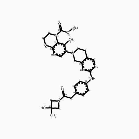 Cc1c(N2CCc3cnc(Nc4ccc(CC(=O)N5CC(C)(O)C5)cc4)nc3C2)cnc2c1N(C(=O)OC(C)(C)C)CCO2